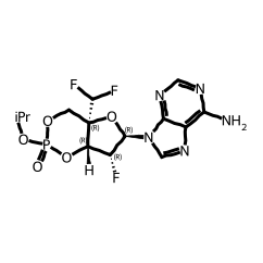 CC(C)OP1(=O)OC[C@@]2(C(F)F)O[C@@H](n3cnc4c(N)ncnc43)[C@H](F)[C@@H]2O1